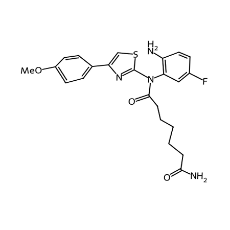 COc1ccc(-c2csc(N(C(=O)CCCCCC(N)=O)c3cc(F)ccc3N)n2)cc1